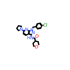 O=C(Nc1nn(Cc2ccc(Cl)cc2)c2nc(N3CCCC3)ccc12)C1CCOCC1